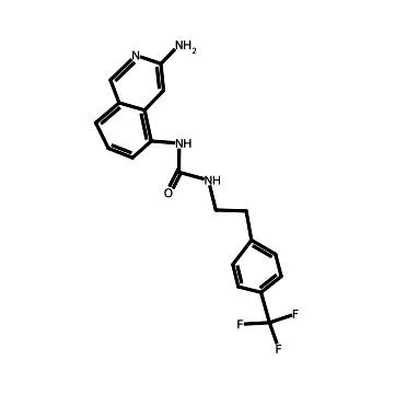 Nc1cc2c(NC(=O)NCCc3ccc(C(F)(F)F)cc3)cccc2cn1